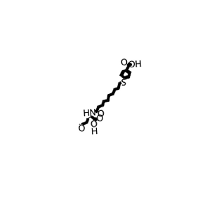 O=[C]CC[C@H](NC(=O)CCCCCCCCCSc1ccc(C(=O)O)cc1)C(=O)O